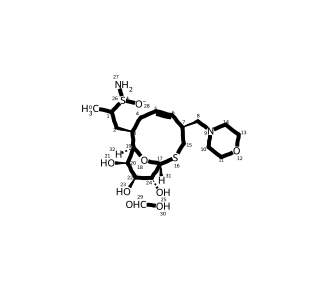 CC(C[C@H]1CC=C[C@@H](CN2CCOCC2)CS[C@H]2O[C@H]1[C@H](O)[C@H](O)[C@H]2O)[S+](N)[O-].O=CO